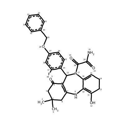 CC1(C)CC(=O)C2=C(C1)NC1=C(O)CCC=C1N(C(=O)C(N)=O)C2c1ccc(OCc2ccccc2)cc1F